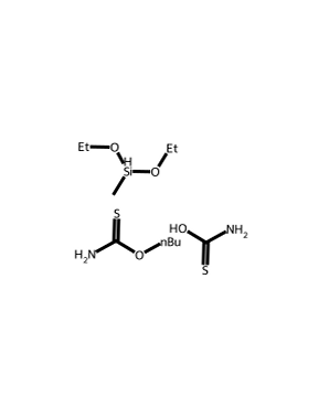 CCCCOC(N)=S.CCO[SiH](C)OCC.NC(O)=S